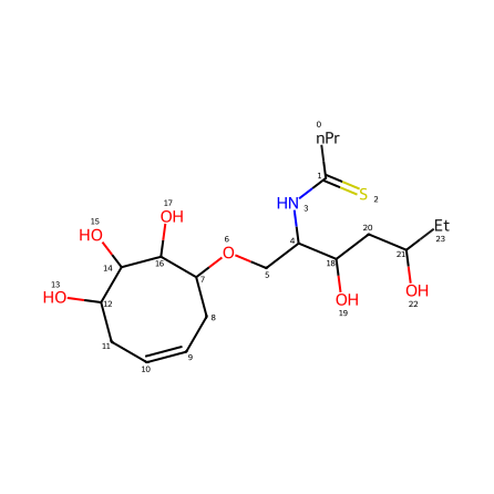 CCCC(=S)NC(COC1C/C=C\CC(O)C(O)C1O)C(O)CC(O)CC